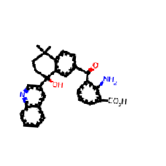 CC1(C)CCC(O)(c2cnc3ccccc3c2)c2cc(C(=O)c3cccc(C(=O)O)c3N)ccc21